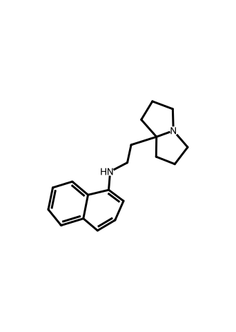 c1ccc2c(NCCC34CCCN3CCC4)cccc2c1